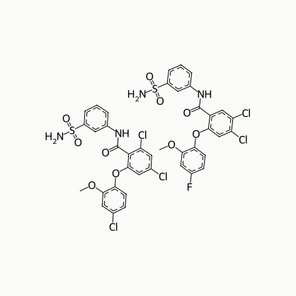 COc1cc(Cl)ccc1Oc1cc(Cl)cc(Cl)c1C(=O)Nc1cccc(S(N)(=O)=O)c1.COc1cc(F)ccc1Oc1cc(Cl)c(Cl)cc1C(=O)Nc1cccc(S(N)(=O)=O)c1